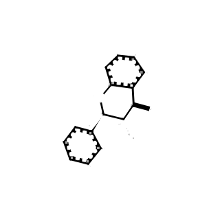 O=C1c2ccccc2O[C@H](c2ccccc2)[C@H]1O